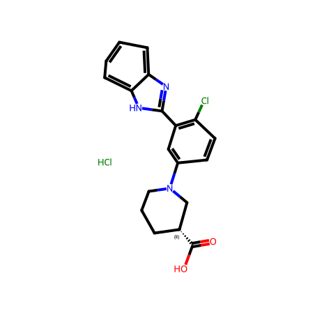 Cl.O=C(O)[C@@H]1CCCN(c2ccc(Cl)c(-c3nc4ccccc4[nH]3)c2)C1